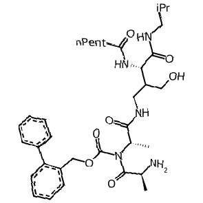 CCCCCC(=O)N[C@H](C(=O)NCC(C)C)C(CO)CNC(=O)[C@H](C)N(C(=O)OCc1ccccc1-c1ccccc1)C(=O)[C@H](C)N